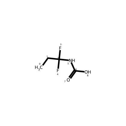 CCC(F)(F)NC(=O)O